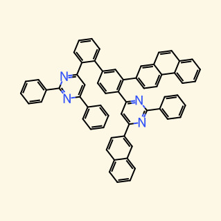 c1ccc(-c2cc(-c3ccccc3-c3ccc(-c4cc(-c5ccc6ccccc6c5)nc(-c5ccccc5)n4)c(-c4ccc5c(ccc6ccccc65)c4)c3)nc(-c3ccccc3)n2)cc1